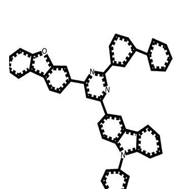 c1ccc(-c2cccc(-c3nc(-c4ccc5c(c4)oc4ccccc45)cc(-c4ccc5c(c4)c4ccccc4n5-c4ccccc4)n3)c2)cc1